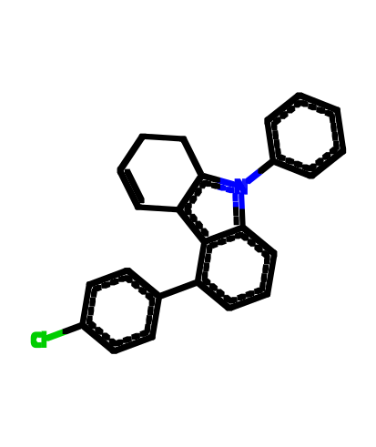 Clc1ccc(-c2cccc3c2c2c(n3-c3ccccc3)CCC=C2)cc1